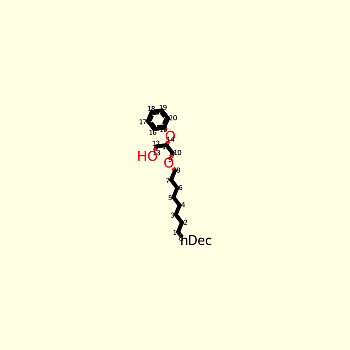 CCCCCCCCCCCCCCCCCCOCC(CO)Oc1ccccc1